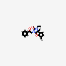 CCN1C(=O)N(CC(=O)c2ccccc2)C(=O)C1(C)C1CCC(C)C1